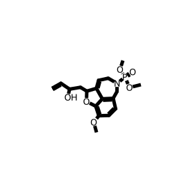 C=CC(O)CC1Oc2c(OC)ccc3c2C1=CCN(P(=O)(OC)OC)C3